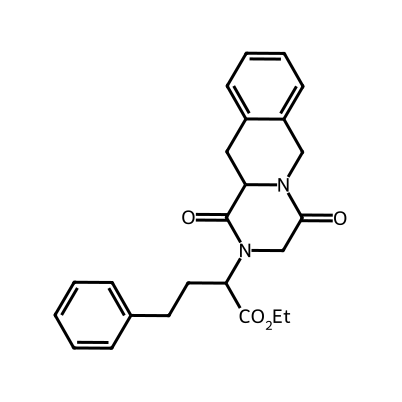 CCOC(=O)C(CCc1ccccc1)N1CC(=O)N2Cc3ccccc3CC2C1=O